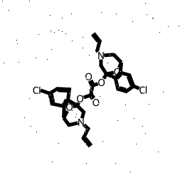 C=CCN1CC2OC(OC(=O)C(=O)OC34CN(CC=C)CC(O3)c3cc(Cl)ccc34)(C1)c1ccc(Cl)cc12